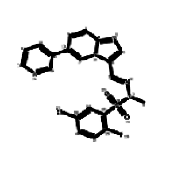 CN(N=Cc1cnc2ccc(-c3cccnc3)cn12)S(=O)(=O)c1cc(Cl)ccc1F